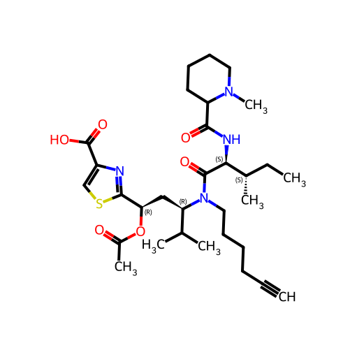 C#CCCCCN(C(=O)[C@@H](NC(=O)C1CCCCN1C)[C@@H](C)CC)[C@H](C[C@@H](OC(C)=O)c1nc(C(=O)O)cs1)C(C)C